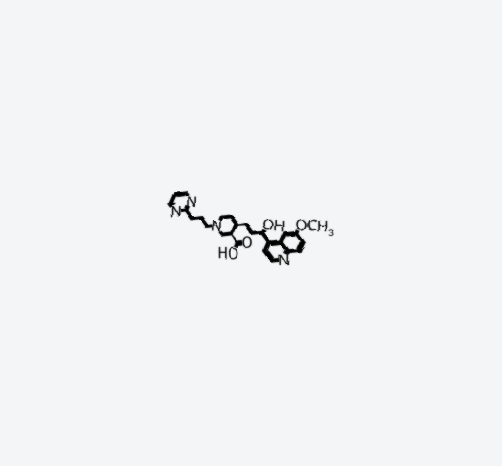 COc1ccc2nccc(C(O)CC[C@@H]3CCN(CCCc4ncccn4)C[C@@H]3C(=O)O)c2c1